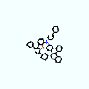 c1ccc(-c2ccc(N(c3ccc(-c4ccc5ccccc5c4-c4ccccc4)cc3)c3cccc4c3sc3c(-c5ccccc5)ccc(-c5ccccc5)c34)cc2)cc1